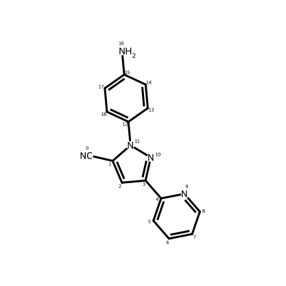 N#Cc1cc(-c2ccccn2)nn1-c1ccc(N)cc1